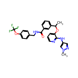 CC(Oc1cccnc1Nc1cnn(C)c1)c1cccc(C(=O)NCc2ccc(OC(F)(F)F)cc2)c1